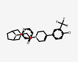 O=C(CN1CC2CCC(C1)N2c1cnccn1)N1CC=C(c2ccc(Cl)c(C(F)(F)F)c2)CC1